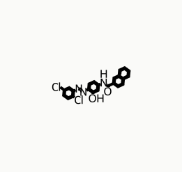 O=C(Nc1ccc(N=Nc2cc(Cl)ccc2Cl)c(O)c1)c1ccc2ccccc2c1